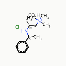 C[C@@H](N[C@H](CC(=O)O)C[N+](C)(C)C)c1ccccc1.[Cl-]